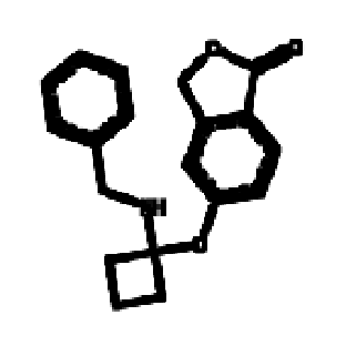 O=C1OCc2cc(OC3(NCc4ccccc4)CCC3)ccc21